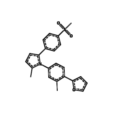 Cc1cc(-n2c(C)ccc2-c2ccc(S(C)(=O)=O)cc2)ccc1-c1ccco1